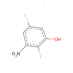 O=[N+]([O-])c1cc(F)cc(O)c1F